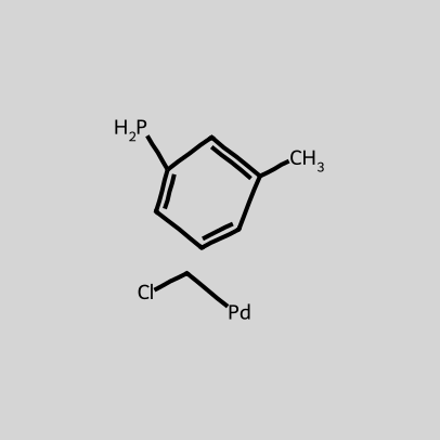 Cc1cccc(P)c1.Cl[CH2][Pd]